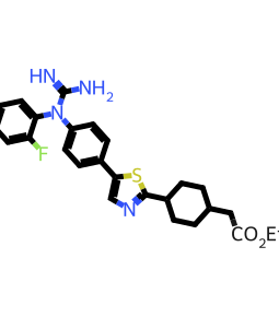 CCOC(=O)CC1CCC(c2ncc(-c3ccc(N(C(=N)N)c4ccccc4F)cc3)s2)CC1